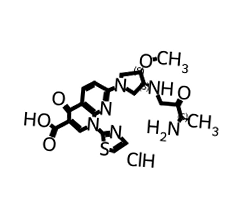 CO[C@H]1CN(c2ccc3c(=O)c(C(=O)O)cn(-c4nccs4)c3n2)C[C@@H]1NCC(=O)[C@H](C)N.Cl